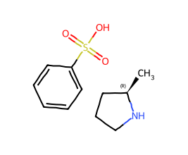 C[C@@H]1CCCN1.O=S(=O)(O)c1ccccc1